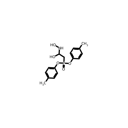 Cc1ccc(OP(=O)(CC(O)NO)Oc2ccc(C)cc2)cc1